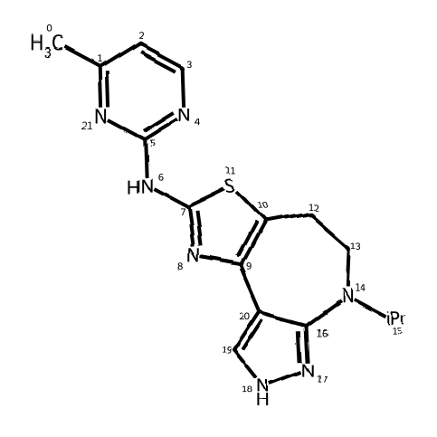 Cc1ccnc(Nc2nc3c(s2)CCN(C(C)C)c2n[nH]cc2-3)n1